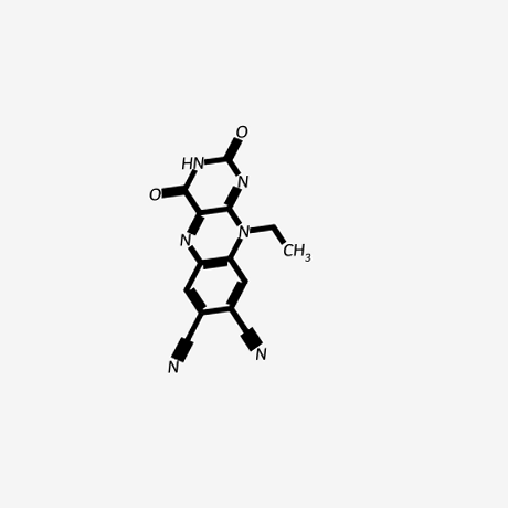 CCn1c2nc(=O)[nH]c(=O)c-2nc2cc(C#N)c(C#N)cc21